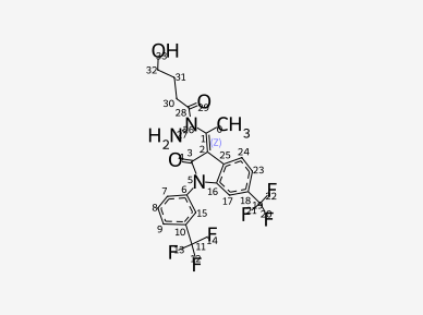 C/C(=C1/C(=O)N(c2cccc(C(F)(F)F)c2)c2cc(C(F)(F)F)ccc21)N(N)C(=O)CCCO